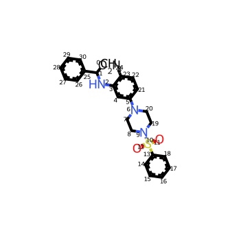 CC(Nc1cc(N2CCN(S(=O)(=O)c3ccccc3)CC2)ccc1[N+](=O)[O-])c1ccccc1